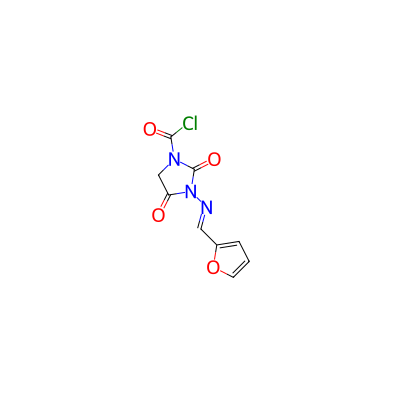 O=C(Cl)N1CC(=O)N(N=Cc2ccco2)C1=O